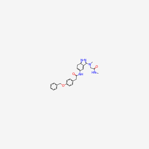 CNC(=O)CN(C)C1=NN=C2CC=C(NC(=O)Cc3ccc(OCc4ccccc4)cc3)C=C21